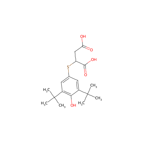 CC(C)(C)c1cc(SC(CC(=O)O)C(=O)O)cc(C(C)(C)C)c1O